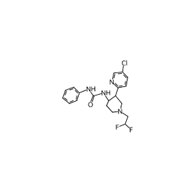 O=C(Nc1ccccc1)NC1CCN(CC(F)F)CC1c1ccc(Cl)cn1